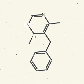 CC1=C(Cc2ccccc2)[C@H](C)N[C]=N1